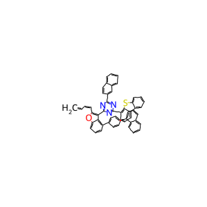 C=C/C=C\c1oc2cccc(-c3ccc(-c4cccc5ccccc45)cc3)c2c1-c1nc(-c2ccc3ccccc3c2)nc(-c2cccc3c2sc2ccccc23)n1